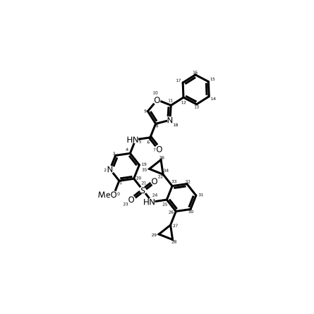 COc1ncc(NC(=O)c2coc(-c3ccccc3)n2)cc1S(=O)(=O)Nc1c(C2CC2)cccc1C1CC1